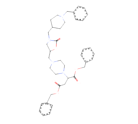 O=C(CC(C(=O)OCc1ccccc1)N1CCN(CC2CN(CC3CCN(Cc4ccccc4)CC3)C(=O)O2)CC1)OCc1ccccc1